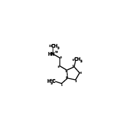 CCC1CCC(C)C1CCNC